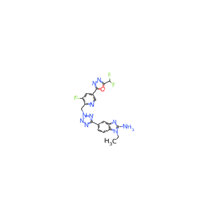 CCn1c(N)nc2cc(-c3nnn(Cc4ncc(-c5nnc(C(F)F)o5)cc4F)n3)ccc21